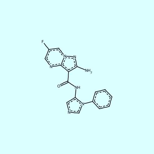 Nc1nn2cc(F)cnc2c1C(=O)Nc1cncn1-c1ccccc1